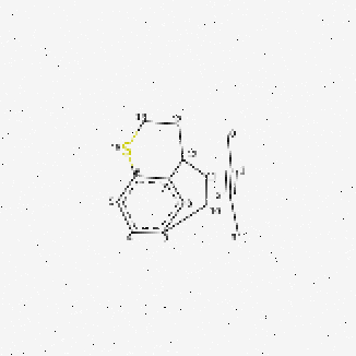 CC#CC.c1cc2c3cc1CCC3CCS2